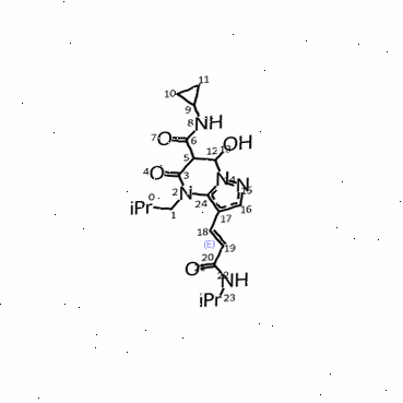 CC(C)CN1C(=O)C(C(=O)NC2CC2)C(O)n2ncc(/C=C/C(=O)NC(C)C)c21